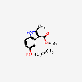 CC(=O)O.CCCCOC(=O)c1c(C)[nH]c2ccc(O)cc12